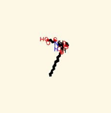 CCCCCCCCCCCCO[C@H]1O[C@H]([C@H](C)NC(=O)CCC(=O)O)[C@@H]2OC(C)(C)O[C@H]12